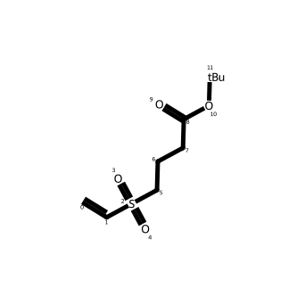 C=CS(=O)(=O)CCCC(=O)OC(C)(C)C